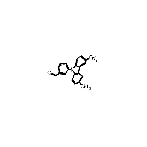 Cc1ccc2c(c1)c1cc(C)ccc1n2-c1cccc(C=O)c1